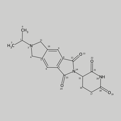 CC(C)N1Cc2cc3c(cc2C1)C(=O)N(C1CCC(=O)NC1=O)C3=O